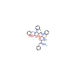 N[C@@H](Cc1ccccc1)C(=O)N[C@@H](Cc1ccccc1)C(=O)N[C@@H](Cc1ccccc1)C(=O)N[C@@H](Cc1ccccc1)C(=O)O